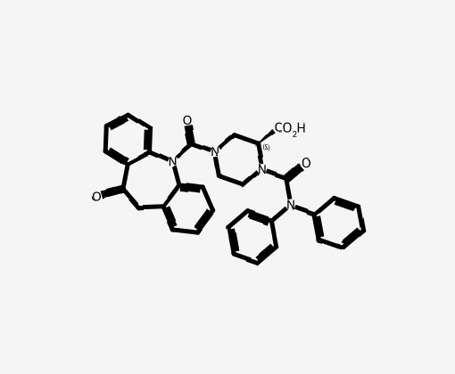 O=C1Cc2ccccc2N(C(=O)N2CCN(C(=O)N(c3ccccc3)c3ccccc3)[C@H](C(=O)O)C2)c2ccccc21